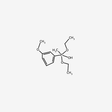 CCOP(C)(O)(OCC)c1cccc(OC)c1